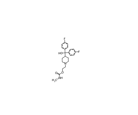 CNC(=O)OCCN1CCC(C(O)(c2ccc(F)cc2)c2ccc(F)cc2)CC1